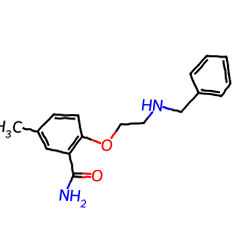 Cc1ccc(OCCNCc2ccccc2)c(C(N)=O)c1